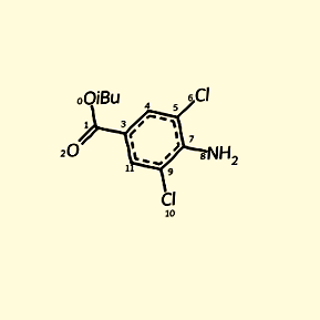 CC(C)COC(=O)c1cc(Cl)c(N)c(Cl)c1